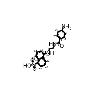 Nc1ccc(C(=O)NCCNc2cccc3c(S(=O)(=O)O)cccc23)cc1